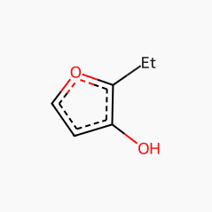 CCc1occc1O